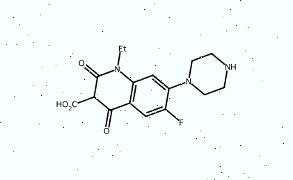 CCN1C(=O)C(C(=O)O)C(=O)c2cc(F)c(N3CCNCC3)cc21